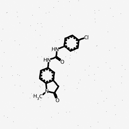 CN1C(=O)Cc2cc(NC(=O)Nc3ccc(Cl)cc3)ccc21